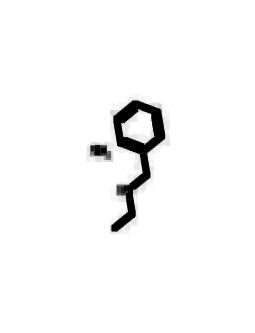 CCNCc1ccccc1.N